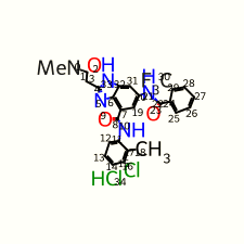 CNC(=O)Cc1nc2c(C(=O)Nc3cccc(Cl)c3C)cc(NC(=O)c3ccccc3C(F)(F)F)cc2[nH]1.Cl